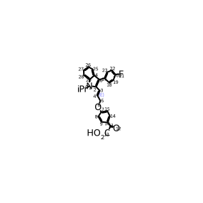 CC(C)n1c(/C=C/COc2ccc(C(=O)C(=O)O)cc2)c(-c2ccc(F)cc2)c2ccccc21